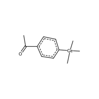 CC(=O)c1cc[c]([Ge]([CH3])([CH3])[CH3])cc1